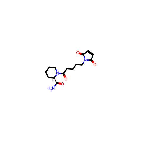 NC(=O)[C@H]1CCCCN1C(=O)CCCCN1C(=O)C=CC1=O